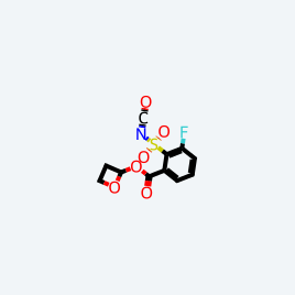 O=C=NS(=O)(=O)c1c(F)cccc1C(=O)OC1CCO1